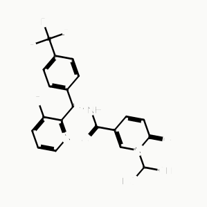 CC(C)n1cc(C(=O)N[C@@H](c2ccc(C(F)(F)F)cc2)c2ncccc2F)ccc1=O